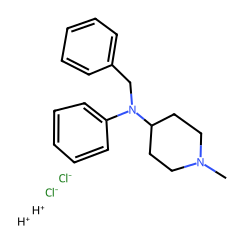 CN1CCC(N(Cc2ccccc2)c2ccccc2)CC1.[Cl-].[Cl-].[H+].[H+]